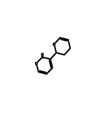 C1=CONC(C2CCC=CO2)=C1